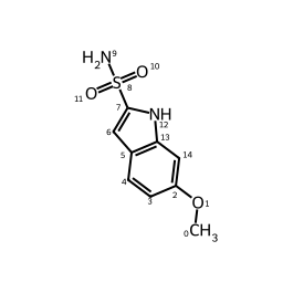 COc1ccc2cc(S(N)(=O)=O)[nH]c2c1